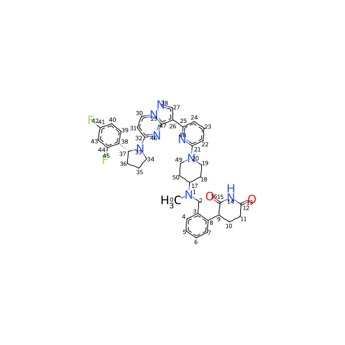 CN(Cc1ccccc1C1CCC(=O)NC1=O)C1CCN(c2cccc(-c3cnn4ccc(N5CCC[C@@H]5c5ccc(F)cc5F)nc34)n2)CC1